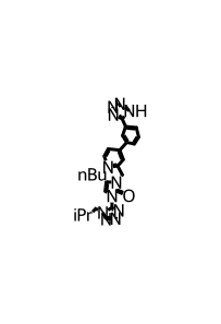 CCCCc1cn(-c2nnnn2CC(C)C)c(=O)n1Cc1cc(-c2cccc(-c3nnn[nH]3)c2)ccn1